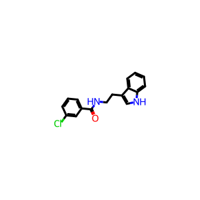 O=C(NCCc1c[nH]c2ccccc12)c1cccc(Cl)c1